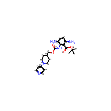 CC(C)(C)OC(=O)c1c(N)ccc(N)c1NC(=O)OCC1CCN(c2ccncc2)CC1